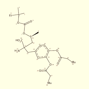 CCC(C)(C)OC(=O)O[C@@H](C)CC(N)(Cc1ccc(OC(=O)CC(C)(C)C)c(OC(=O)CC(C)(C)C)c1)C(=O)O